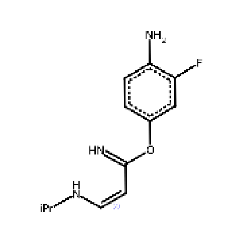 CC(C)N/C=C\C(=N)Oc1ccc(N)c(F)c1